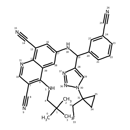 CC(C)(C)CNc1c(C#N)cnc2c(C#N)cc(NC(c3cccc(C#N)c3)c3cn(C4(CF)CC4)nn3)cc12